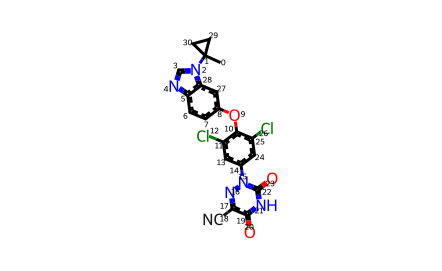 CC1(n2cnc3ccc(Oc4c(Cl)cc(-n5nc(C#N)c(=O)[nH]c5=O)cc4Cl)cc32)CC1